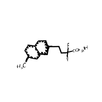 Cc1ccc2ccc(CCC(F)(F)C(=O)O)cc2c1